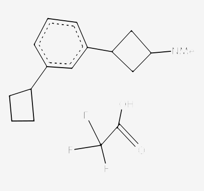 CNC1CC(c2cccc(C3CCC3)c2)C1.O=C(O)C(F)(F)F